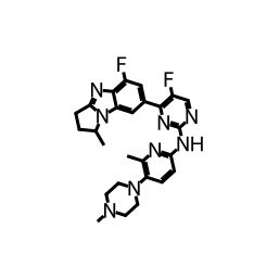 Cc1nc(Nc2ncc(F)c(-c3cc(F)c4nc5n(c4c3)C(C)CC5)n2)ccc1N1CCN(C)CC1